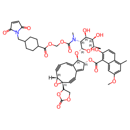 COc1cc(C)c2ccc(O)c(C(=O)O[C@@H]3C=C4C#C[C@]5(C6COC(=O)O6)O[C@@H]5C#CC=C4[C@H]3O[C@H]3O[C@H](C)[C@H](O)[C@H](O)[C@H]3N(C)C(=O)OCOC(=O)C3CCC(CN4C(=O)C=CC4=O)CC3)c2c1